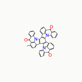 Cc1ccc2c3c4c(c5cccc6c(=O)c7ccccc7n4c65)c4c(c5cccc6c(=O)c7ccccc7n4c65)c3n3c4ccccc4c(=O)c1c23